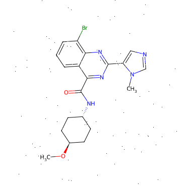 CO[C@H]1CC[C@H](NC(=O)c2nc(-c3cncn3C)nc3c(Br)cccc23)CC1